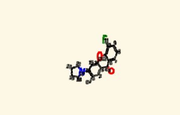 Cc1cc2c(=O)c3cccc(F)c3oc2cc1N1CCCC1